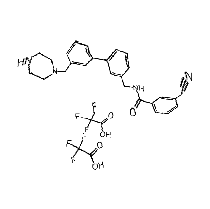 N#Cc1cccc(C(=O)NCc2cccc(-c3cccc(CN4CCNCC4)c3)c2)c1.O=C(O)C(F)(F)F.O=C(O)C(F)(F)F